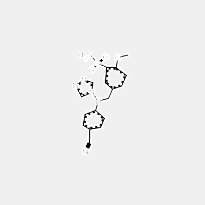 COc1ccc(CN(c2ccc(C#N)cc2)n2cnnc2)cc1S(N)(=O)=O